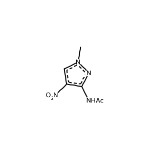 CC(=O)Nc1nn(C)cc1[N+](=O)[O-]